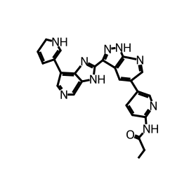 CCC(=O)Nc1ccc(-c2cnc3[nH]nc(-c4nc5c(C6=CNCC=C6)cncc5[nH]4)c3c2)cn1